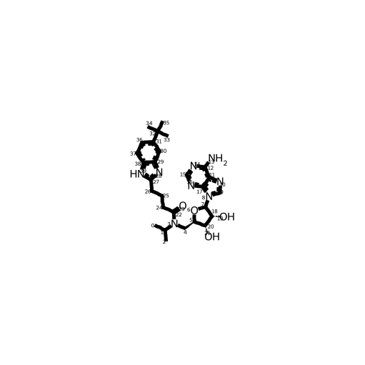 CC(C)N(C[C@H]1OC(n2cnc3c(N)ncnc32)[C@H](O)[C@@H]1O)C(=O)CCCc1nc2cc(C(C)(C)C)ccc2[nH]1